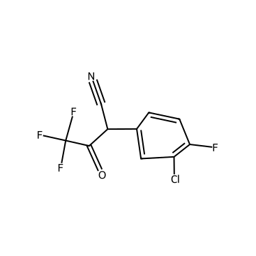 N#CC(C(=O)C(F)(F)F)c1ccc(F)c(Cl)c1